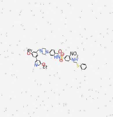 CCOc1cncc(-c2cc(CN3CCN(c4ccc(C(=O)NS(=O)(=O)c5ccc(NCCSc6ccccc6)c([N+](=O)[O-])c5)cc4)CC3)cc(OC(C)C)c2)c1